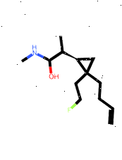 C=CCCC1(CCF)C[C@@H]1C(C)C(O)NC